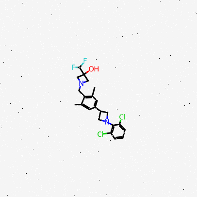 Cc1cc(C2CN(c3c(Cl)cccc3Cl)C2)cc(C)c1CN1CC(O)(C(F)F)C1